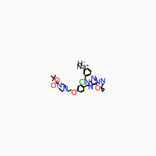 CC(C)(C)OC(=O)N1CCN(CCOc2ccc(-c3nc4c(OC5(C#N)CC5)ncnc4n3Cc3ccccc3)c(Cl)c2)CC1.[H-].[Na+]